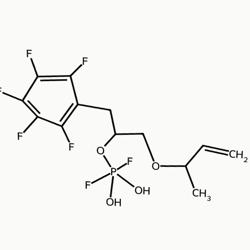 C=CC(C)OCC(Cc1c(F)c(F)c(F)c(F)c1F)OP(O)(O)(F)F